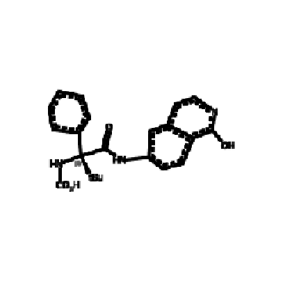 CC(C)(C)[C@](NC(=O)O)(C(=O)Nc1ccc2c(O)nccc2c1)c1ccccc1